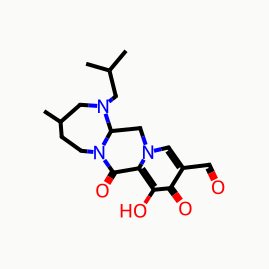 CC(C)CN1CC(C)CCN2C(=O)c3c(O)c(=O)c(C=O)cn3CC12